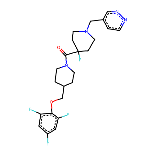 O=C(N1CCC(COc2c(F)cc(F)cc2F)CC1)C1(F)CCN(Cc2ccnnc2)CC1